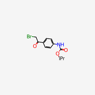 CC(C)OC(=O)Nc1ccc(C(=O)CBr)cc1